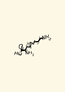 NCCNCCC(N)C(=O)O